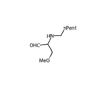 CCCCCCNC(C=O)COC